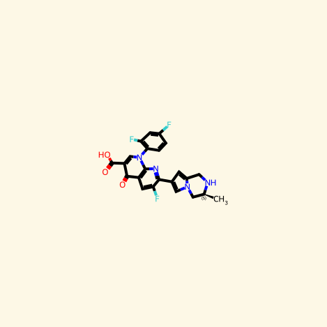 C[C@H]1Cn2cc(-c3nc4c(cc3F)c(=O)c(C(=O)O)cn4-c3ccc(F)cc3F)cc2CN1